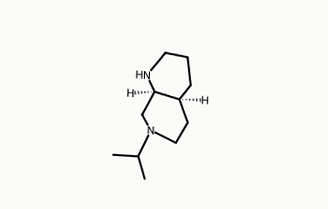 CC(C)N1CC[C@@H]2CCCN[C@@H]2C1